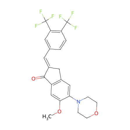 COc1cc2c(cc1N1CCOCC1)C/C(=C\c1ccc(C(F)(F)F)c(C(F)(F)F)c1)C2=O